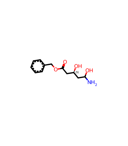 NC(O)C[C@H](O)CC(=O)OCc1ccccc1